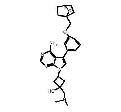 CN(C)CC1(O)CC(n2cc(-c3cccc(OCC45CCC(CC4)O5)c3)c3c(N)ncnc32)C1